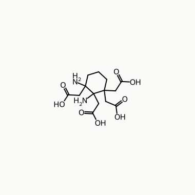 NC1(CC(=O)O)CCCC(CC(=O)O)(CC(=O)O)C1(N)CC(=O)O